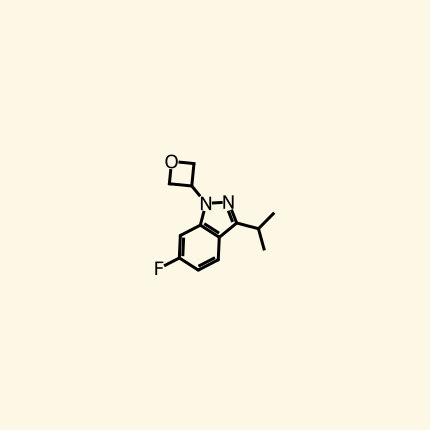 CC(C)c1nn(C2COC2)c2cc(F)ccc12